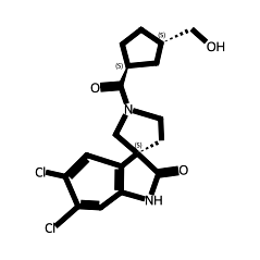 O=C([C@H]1CC[C@H](CO)C1)N1CC[C@]2(C1)C(=O)Nc1cc(Cl)c(Cl)cc12